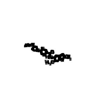 CN[C@@H]1CCN(c2cnc(C(=O)Nc3cc4cc(C)nn4cc3C)cn2)C1